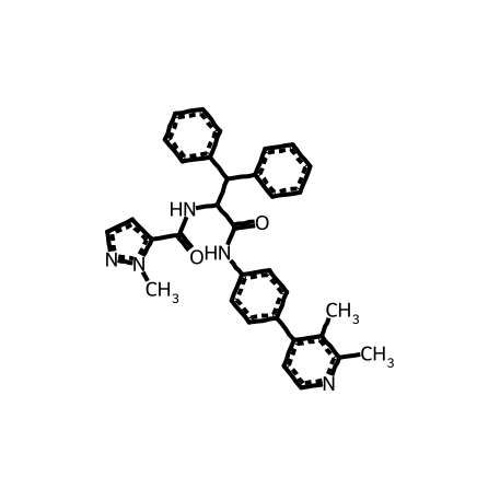 Cc1nccc(-c2ccc(NC(=O)C(NC(=O)c3ccnn3C)C(c3ccccc3)c3ccccc3)cc2)c1C